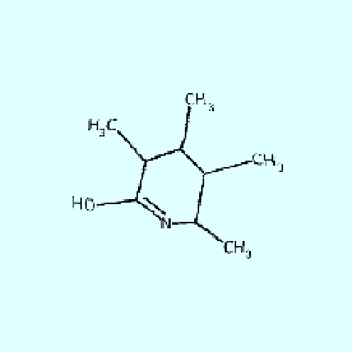 CC1N=C(O)C(C)C(C)C1C